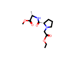 CCOC(=O)CN1CCC[C@H]1C(=O)N[C@@H](C)C(=O)OC